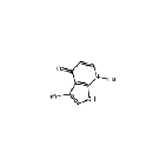 CC(C)C1=C[SH]c2c1c(=O)ccn2C#N